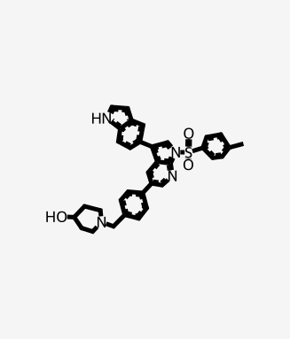 Cc1ccc(S(=O)(=O)n2cc(-c3ccc4[nH]ccc4c3)c3cc(-c4ccc(CN5CCC(O)CC5)cc4)cnc32)cc1